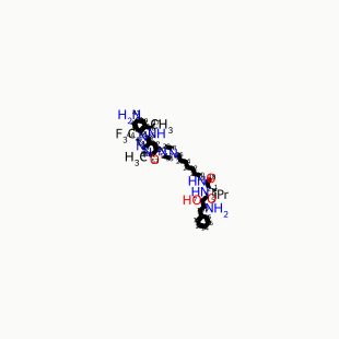 CC(C)C[C@H](NC(=O)[C@@H](O)[C@H](N)Cc1ccccc1)C(=O)NCCCCCCCN1CCN(c2cc3c(N[C@H](C)c4cc(N)cc(C(F)(F)F)c4)ncnc3n(C)c2=O)CC1